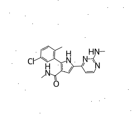 CNC(=O)c1cc(-c2ccnc(NC)n2)[nH]c1-c1cc(Cl)ccc1C